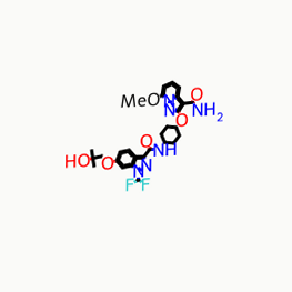 COc1cccc2c(C(N)=O)c(O[C@H]3CC[C@H](NC(=O)c4nn(C(F)F)c5cc(OCC(C)(C)O)ccc45)CC3)nn12